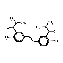 CN(C)C(=O)c1cc(SSc2ccc([N+](=O)[O-])c(C(=O)N(C)C)c2)ccc1[N+](=O)[O-]